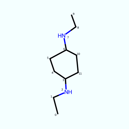 CCNC1CCC(NCC)CC1